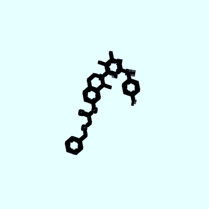 Cc1nc(Nc2ccc(F)cc2)nc(N2CCc3ccc(OC(=O)COCc4ccccc4)cc3C2C)c1C